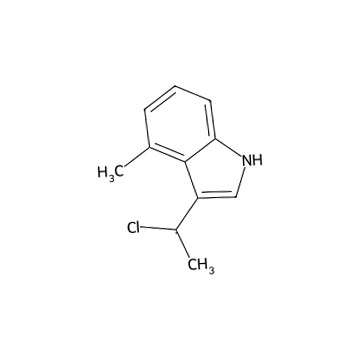 C[C](Cl)c1c[nH]c2cccc(C)c12